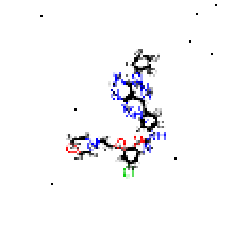 Nc1ncnc2c1c(-c1ccc(Nc3nc4cc(Cl)cc(OCCN5CCOCC5)c4o3)cc1)nn2C1CCCC1